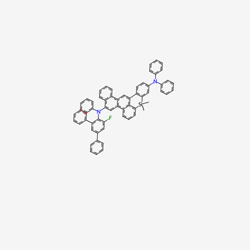 C[Si]1(C)c2cc(N(c3ccccc3)c3ccccc3)ccc2-c2cc3c4ccccc4c(N(c4ccccc4)c4c(F)cc(-c5ccccc5)cc4-c4ccccc4)cc3c3cccc1c23